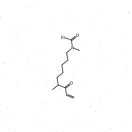 C=CC(=O)C(C)CCCCCN(C)C(=O)CC